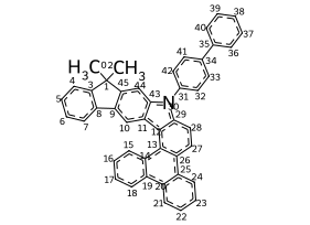 CC1(C)c2ccccc2-c2cc3c4c5c6ccccc6c6ccccc6c5ccc4n(-c4ccc(-c5ccccc5)cc4)c3cc21